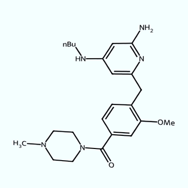 CCCCNc1cc(N)nc(Cc2ccc(C(=O)N3CCN(C)CC3)cc2OC)c1